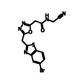 N#CCNC(=O)Cc1nnc(Cc2nc3cc(Br)ccc3s2)o1